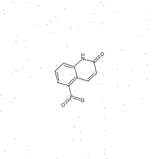 O=c1ccc2c(P(=O)=O)cccc2[nH]1